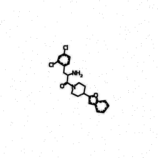 NC(Cc1ccc(Cl)cc1Cl)C(=O)N1CCC(c2cc3ccccc3o2)CC1